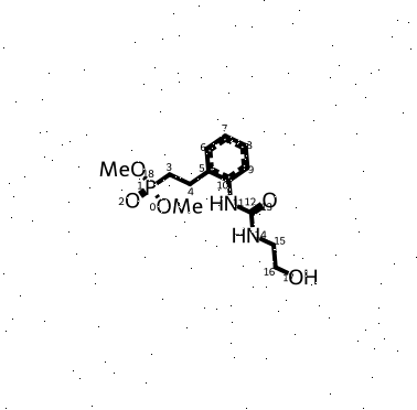 COP(=O)(CCc1ccccc1NC(=O)NCCO)OC